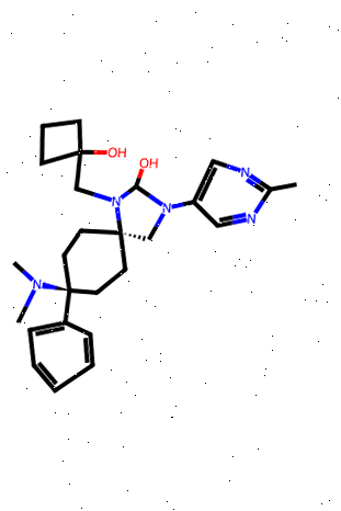 Cc1ncc(N2C[C@]3(CC[C@](c4ccccc4)(N(C)C)CC3)N(CC3(O)CCC3)C2O)cn1